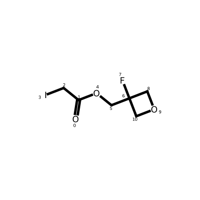 O=C(CI)OCC1(F)COC1